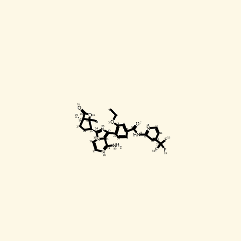 CCOc1cc(C(=O)Nc2cc(C(F)(F)F)ccn2)ccc1-c1nc([C@H]2CC[C@@]3(C)C(=O)OC23C)n2ccnc(N)c12